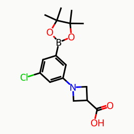 CC1(C)OB(c2cc(Cl)cc(N3CC(C(=O)O)C3)c2)OC1(C)C